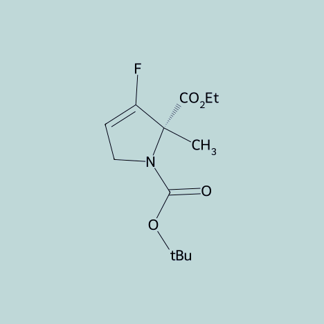 CCOC(=O)[C@@]1(C)C(F)=CCN1C(=O)OC(C)(C)C